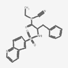 CCN(C#N)C(=O)C(Cc1ccccc1)NS(=O)(=O)c1ccc2ncccc2c1